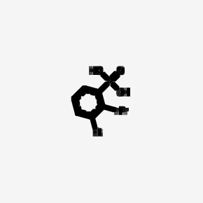 CCCc1c(CC)cccc1P(=O)(O)O